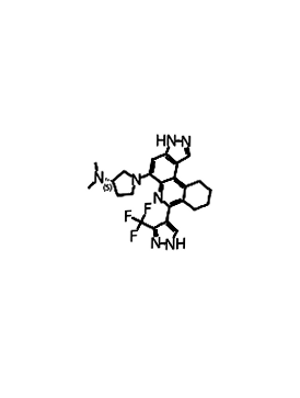 CN(C)[C@H]1CCN(c2cc3[nH]ncc3c3c4c(c(-c5c[nH]nc5C(F)(F)F)nc23)CCCC4)C1